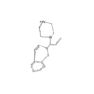 C=CC(N1CCNCC1)N1C=Cc2ccccc2S1